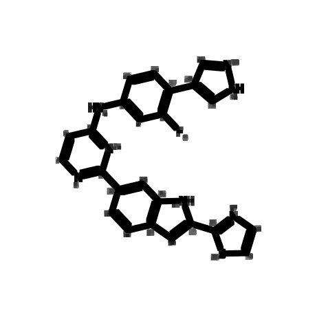 Fc1cc(Nc2ccnc(-c3ccc4cc(-c5nccs5)[nH]c4c3)n2)ccc1-c1cn[nH]c1